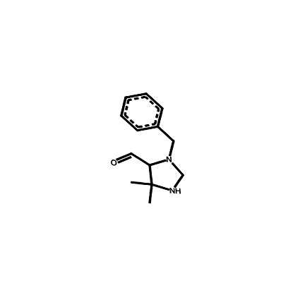 CC1(C)NCN(Cc2ccccc2)C1C=O